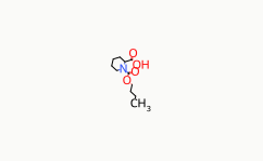 CCCCOC(=O)N1CCCCC1C(=O)O